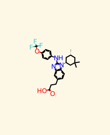 C[C@H]1C[C@@H](n2c(Nc3ccc(OC(F)(F)F)cc3)nc3cc(CCC(=O)O)ccc32)CC(C)(C)C1